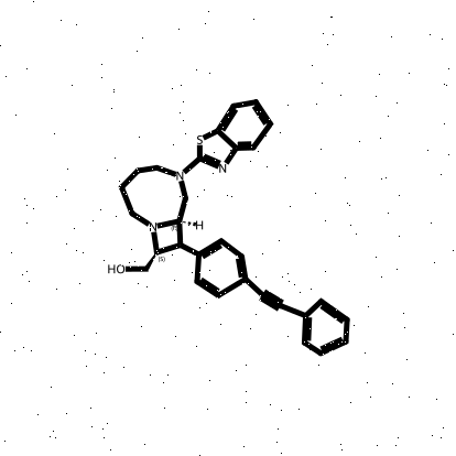 OC[C@@H]1C(c2ccc(C#Cc3ccccc3)cc2)[C@@H]2CN(c3nc4ccccc4s3)CCCCN12